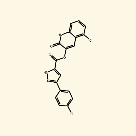 O=C(Oc1cc2c(Cl)cccc2[nH]c1=O)c1cc(-c2ccc(Cl)cc2)n[nH]1